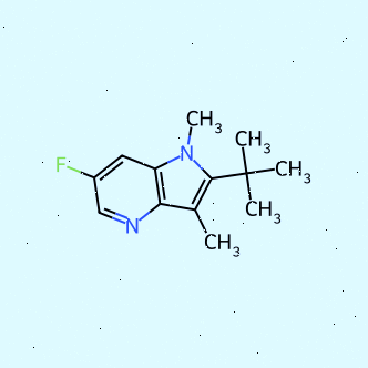 Cc1c(C(C)(C)C)n(C)c2cc(F)cnc12